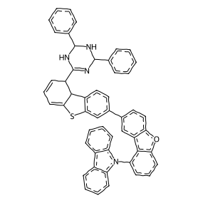 C1=CC(C2=NC(c3ccccc3)NC(c3ccccc3)N2)C2C(=C1)Sc1cc(-c3ccc4oc5cccc(-n6c7ccccc7c7ccccc76)c5c4c3)ccc12